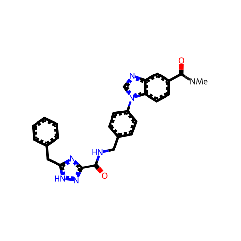 CNC(=O)c1ccc2c(c1)ncn2-c1ccc(CNC(=O)c2n[nH]c(Cc3ccccc3)n2)cc1